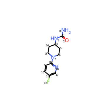 NC(=O)NC1CCN(c2ccc(F)cn2)CC1